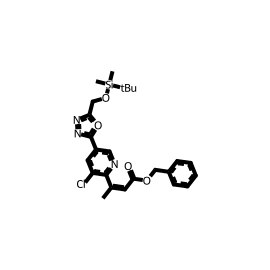 CC(=CC(=O)OCc1ccccc1)c1ncc(-c2nnc(CO[Si](C)(C)C(C)(C)C)o2)cc1Cl